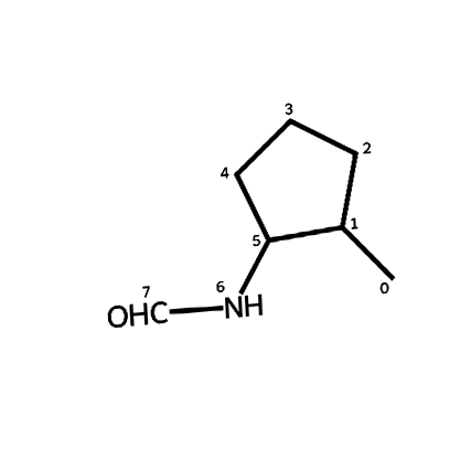 CC1CCCC1NC=O